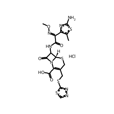 CON=C(C(=O)NC1C(=O)N2C(C(=O)O)=C(CSc3nncs3)CS[C@@H]12)c1nc(N)sc1C.Cl